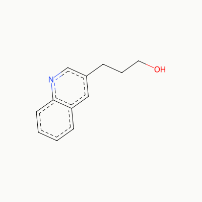 OCCCc1cnc2ccccc2c1